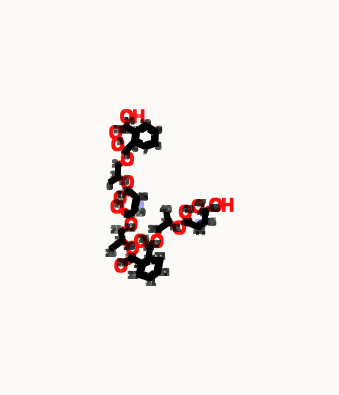 CC(COC(=O)c1ccccc1C(=O)O)OC(=O)/C=C\C(=O)OCC(C)OC(=O)c1ccccc1C(=O)OCC(C)OC(=O)/C=C\C(=O)O